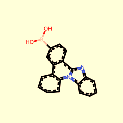 OB(O)c1ccc2c(c1)c1ccccc1n1c3ccccc3nc21